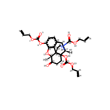 C=CCOC(=O)Oc1ccc2c3c1O[C@H]1C(=O)CCC4(OC(=O)OCC=C)[C@@H](C2)N(C(=O)OCC=C)CCC314